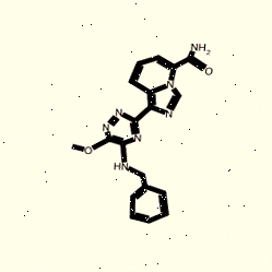 COc1nnc(-c2ncn3c(C(N)=O)cccc23)nc1NCc1ccccc1